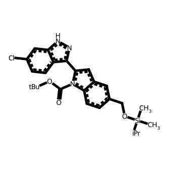 CC(C)[Si](C)(C)OCc1ccc2c(c1)cc(-c1n[nH]c3cc(Cl)ccc13)n2C(=O)OC(C)(C)C